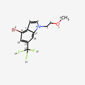 COCCn1ccc2c(Br)cc(C(F)(F)F)cc21